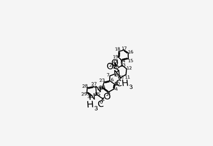 CC(Oc1ccc(CN2[C@@H](C)CCC(c3ccccc3)S2(=O)=O)cc1)c1ncccn1